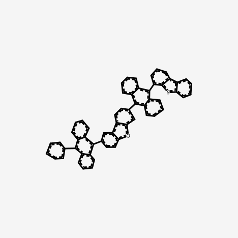 c1ccc(-c2c3ccccc3c(-c3ccc4oc5cc(-c6c7ccccc7c(-c7cccc8c7sc7ccccc78)c7ccccc67)ccc5c4c3)c3ccccc23)cc1